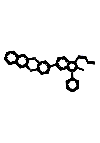 C=C/C=C\c1c(C)n(-c2ccccc2)c2cc(-c3ccc4c(c3)Oc3cc5ccccc5cc3O4)ccc12